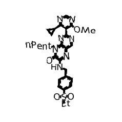 CCCCCn1c(=O)c(NCc2ccc(S(=O)(=O)CC)cc2)nc2cnc(-c3c(OC)ncnc3C3CC3)nc21